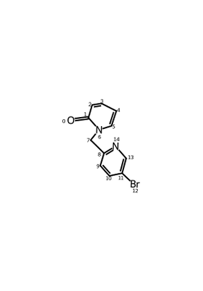 O=c1ccccn1Cc1ccc(Br)cn1